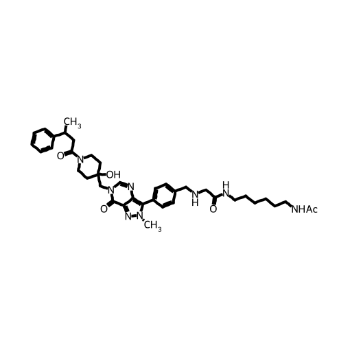 CC(=O)NCCCCCCNC(=O)CNCc1ccc(-c2c3ncn(CC4(O)CCN(C(=O)CC(C)c5ccccc5)CC4)c(=O)c3nn2C)cc1